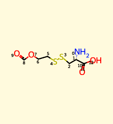 N[C@@H](CSSCCOC=O)C(=O)O